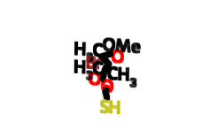 COC(=O)C(C)(Br)CC(C)(C)C(=O)OCCS